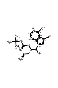 [2H]C([C@H](CC=C)NC(=O)OC(C)(C)C)n1cc(I)c2c(Cl)ncnc21